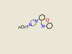 CCCCCCCCN1CCN(c2cccc3c2C=Nc2ccccc2O3)CC1